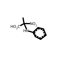 CC(Nc1ccccc1)(C(=O)O)[N+](=O)[O-]